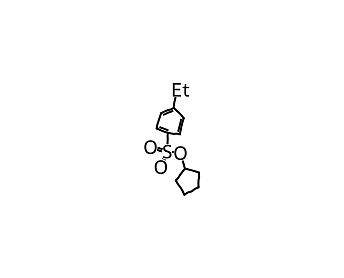 CCc1ccc(S(=O)(=O)OC2CCCC2)cc1